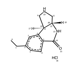 CCc1ccc2c(c1)[C@H]1CNC[C@@H]1NC2=O.Cl